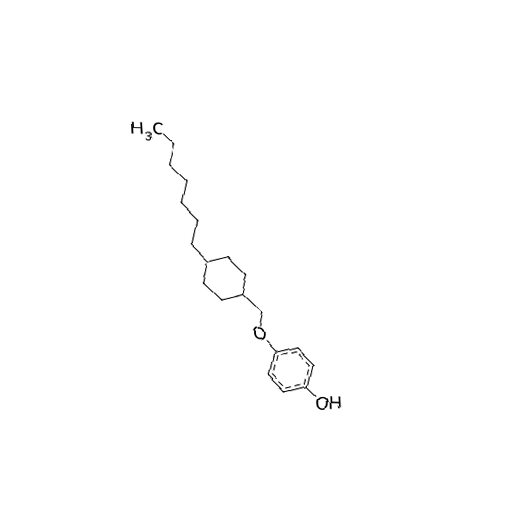 CCCCCCCC1CCC(COc2ccc(O)cc2)CC1